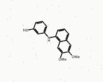 COc1cc2cccc(Nc3cccc(O)c3)c2cc1OC